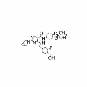 CP(=O)(O)O[C@H]1CC[C@H](NC(=O)c2cnc(N3CC4CC4C3)nc2NCc2ccc(CO)c(F)c2)CC1